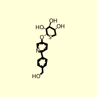 OCc1ccc(-c2ccc(O[C@H]3SC[C@@H](O)[C@H](O)[C@H]3O)cn2)cc1